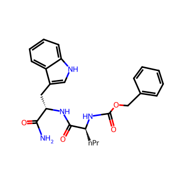 CCC[C@H](NC(=O)OCc1ccccc1)C(=O)N[C@@H](Cc1c[nH]c2ccccc12)C(N)=O